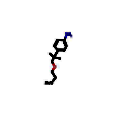 COCCOCC(C)(C)c1ccc(N)cc1